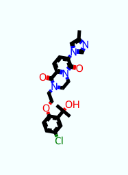 Cc1cn(-c2ccc3n(c2=O)CCN(CCOc2ccc(Cl)cc2C(C)(C)O)C3=O)cn1